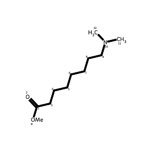 COC(=O)CCCCCCCN(C)C